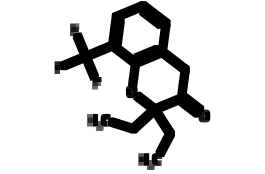 CCC1(CC)Oc2c(cccc2C(F)(F)F)CC1=O